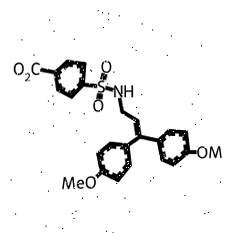 COc1ccc(C(=CCNS(=O)(=O)c2ccc(C(=O)O)cc2)c2ccc(OC)cc2)cc1